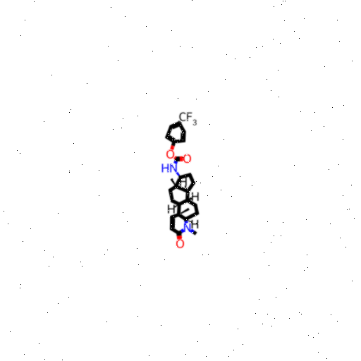 CN1C(=O)C=C[C@]2(C)[C@H]3CC[C@]4(C)[C@@H](NC(=O)Oc5ccc(C(F)(F)F)cc5)CC[C@H]4[C@@H]3CC[C@@H]12